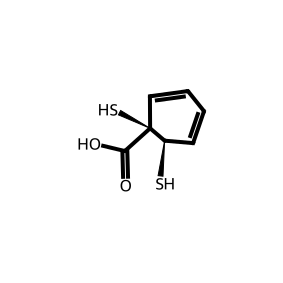 O=C(O)[C@]1(S)C=CC=C[C@H]1S